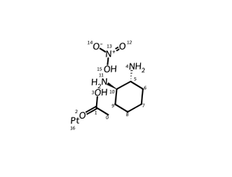 CC(=O)O.N[C@@H]1CCCC[C@H]1N.O=[N+]([O-])O.[Pt]